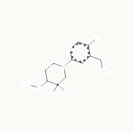 NCc1cc(N2CCC(OC(F)(F)F)C(F)(F)C2)ncc1F